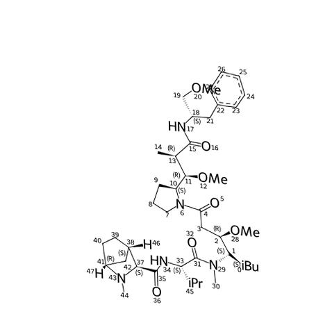 CC[C@H](C)[C@@H]([C@@H](CC(=O)N1CCC[C@H]1[C@H](OC)[C@@H](C)C(=O)N[C@H](COC)Cc1ccccc1)OC)N(C)C(=O)[C@@H](NC(=O)[C@@H]1[C@H]2CC[C@H](C2)N1C)C(C)C